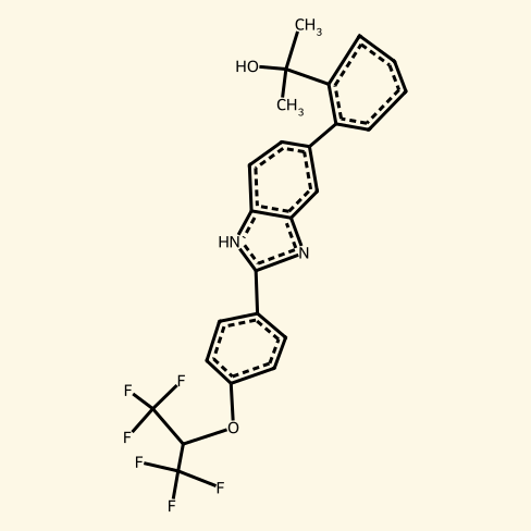 CC(C)(O)c1ccccc1-c1ccc2[nH]c(-c3ccc(OC(C(F)(F)F)C(F)(F)F)cc3)nc2c1